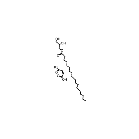 CCCCCCCCCCCCCCCCCC(=O)OCC(O)CO.O=C(O)/C=C\C(=O)O